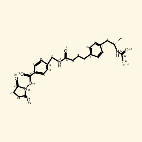 C[C@@H](Cc1ccc(CCCC(=O)NCc2ccc(C(=O)ON3C(=O)CCC3=O)cc2)cc1)NC(=O)C(F)(F)F